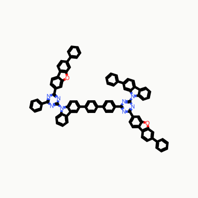 c1ccc(-c2ccc3c(c2)oc2cc(-c4nc(-c5ccccc5)nc(-n5c6ccccc6c6cc(-c7ccc(-c8ccc(-c9nc(-c%10ccc%11c(c%10)oc%10cc(-c%12ccccc%12)ccc%10%11)nc(-n%10c%11ccccc%11c%11ccc(-c%12ccccc%12)cc%11%10)n9)cc8)cc7)ccc65)n4)ccc23)cc1